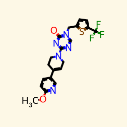 COc1ccc(C2=CCN(c3ncn(Cc4ccc(C(F)(F)F)s4)c(=O)n3)CC2)cn1